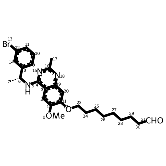 COc1cc2c(N[C@H](C)c3cccc(Br)c3)nc(C)nc2cc1OCCCCCCCCC=O